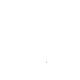 CN1c2cc(-c3ccc4nc(N)n(-c5ccccc5)c(=O)c4c3)cnc2CS1(=O)=O